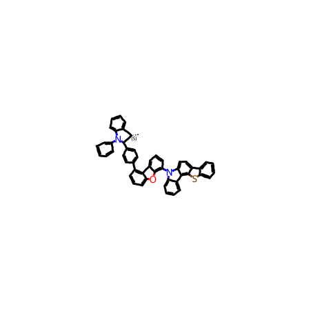 C[C@H]1c2ccccc2N(c2ccccc2)C1c1ccc(-c2cccc3oc4c(-n5c6ccccc6c6c7sc8ccccc8c7ccc65)cccc4c23)cc1